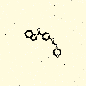 O=C(c1ccc(OCCN2CCOCC2)nc1)N1CCC2=C1C=CCC2